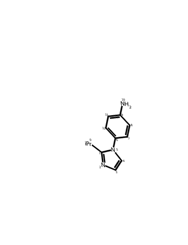 CC(C)c1nccn1-c1ccc(N)cc1